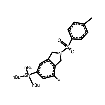 CCC[CH2][Sn]([CH2]CCC)([CH2]CCC)[c]1cc(F)c2c(c1)CN(S(=O)(=O)c1ccc(C)cc1)C2